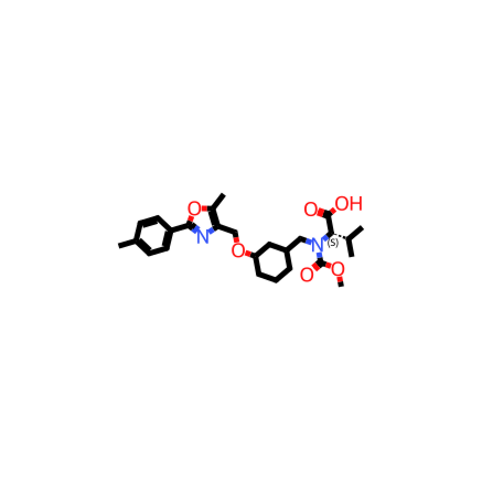 COC(=O)N(CC1CCCC(OCc2nc(-c3ccc(C)cc3)oc2C)C1)[C@H](C(=O)O)C(C)C